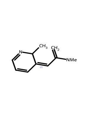 C=C(/C=C1/C=CC=NC1C)NC